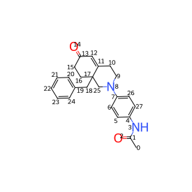 CC(=O)Nc1ccc(N2CCC3=CC(=O)CCC3(Cc3ccccc3)C2)cc1